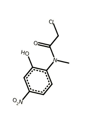 CN(C(=O)CCl)c1ccc([N+](=O)[O-])cc1O